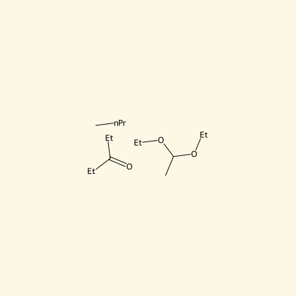 CCC(=O)CC.CCCC.CCOC(C)OCC